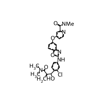 C=C(C(=O)N(C)C)C(O)c1ccc(Nc2nc3cc(Oc4ccnc(C(=O)NC)c4)ccc3o2)cc1Cl